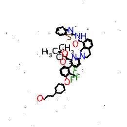 CC(C)(C)OC(=O)c1nc(N2CCc3cccc(C(=O)Nc4nc5ccccc5s4)c3C2)ccc1-c1cccc(OC2CCC(CCC=O)CC2)c1C(F)(F)F